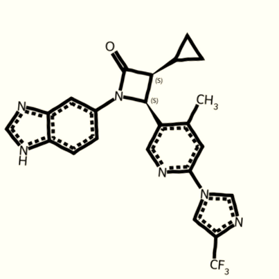 Cc1cc(-n2cnc(C(F)(F)F)c2)ncc1[C@@H]1[C@H](C2CC2)C(=O)N1c1ccc2[nH]cnc2c1